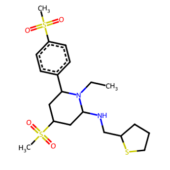 CCN1C(NCC2CCCS2)CC(S(C)(=O)=O)CC1c1ccc(S(C)(=O)=O)cc1